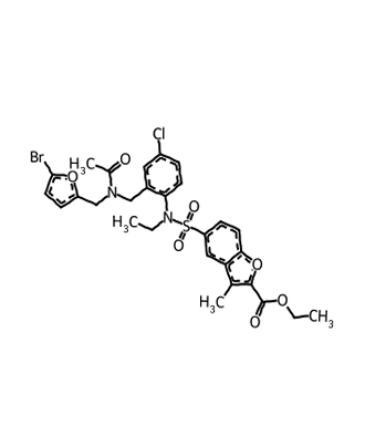 CCOC(=O)c1oc2ccc(S(=O)(=O)N(CC)c3ccc(Cl)cc3CN(Cc3ccc(Br)o3)C(C)=O)cc2c1C